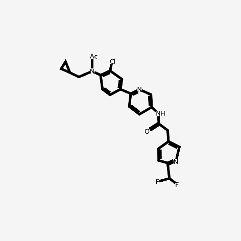 CC(=O)N(CC1CC1)c1ccc(-c2ccc(NC(=O)Cc3ccc(C(F)F)nc3)cn2)cc1Cl